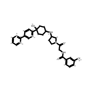 O=C(NCC(=O)N1CCC(NC2CCC(O)(c3ccc(-c4ncccn4)cn3)CC2)C1)c1cccc(C(F)(F)F)c1